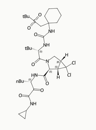 CCCC[C@H](NC(=O)[C@@H]1[C@@H]2[C@H](CN1C(=O)[C@@H](NC(=O)NC1(CS(=O)(=O)C(C)(C)C)CCCCC1)C(C)(C)C)C2(Cl)Cl)C(=O)C(=O)NC1CC1